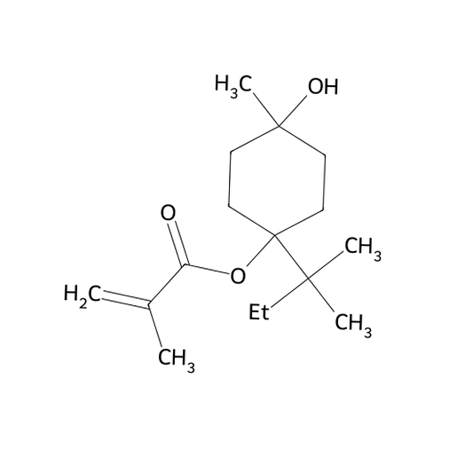 C=C(C)C(=O)OC1(C(C)(C)CC)CCC(C)(O)CC1